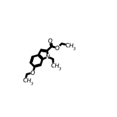 CCOC(=O)c1cc2ccc(OCC)cc2n1CC